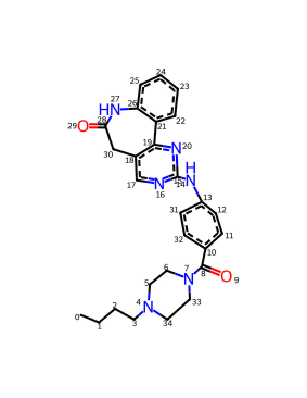 CCCCN1CCN(C(=O)c2ccc(Nc3ncc4c(n3)-c3ccccc3NC(=O)C4)cc2)CC1